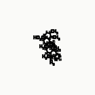 CC1CCC2(C(=O)O)CCC3(C)C(=CCC4C5(C)Cc6scnc6C(C)(C)C5CCC43C)C2C1C